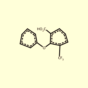 O=C(O)c1cccc(C(F)(F)F)c1Oc1ccccc1